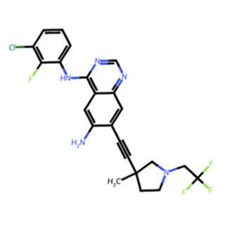 CC1(C#Cc2cc3ncnc(Nc4cccc(Cl)c4F)c3cc2N)CCN(CC(F)(F)F)C1